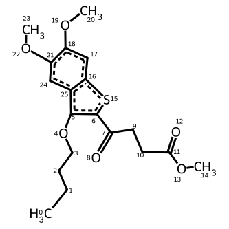 CCCCOc1c(C(=O)CCC(=O)OC)sc2cc(OC)c(OC)cc12